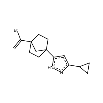 C=C(CC)C12CCC(c3cc(C4CC4)n[nH]3)(CC1)C2